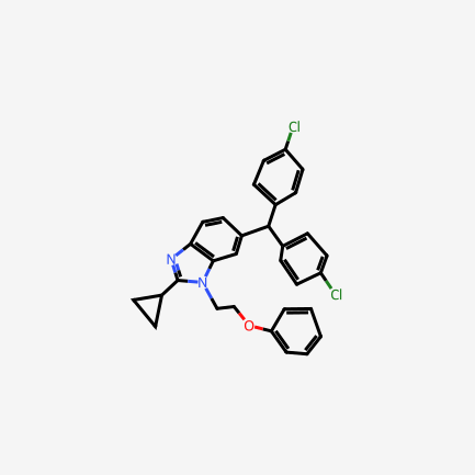 Clc1ccc(C(c2ccc(Cl)cc2)c2ccc3nc(C4CC4)n(CCOc4ccccc4)c3c2)cc1